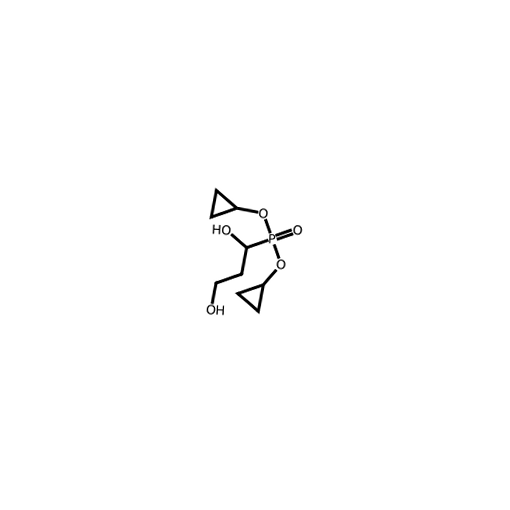 O=P(OC1CC1)(OC1CC1)C(O)CCO